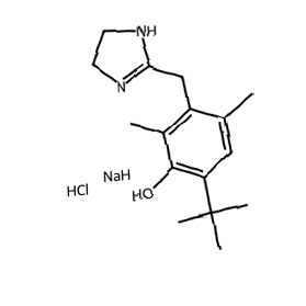 Cc1cc(C(C)(C)C)c(O)c(C)c1CC1=NCCN1.Cl.[NaH]